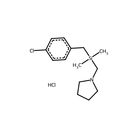 C[Si](C)(Cc1ccc(Cl)cc1)CN1CCCC1.Cl